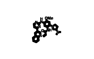 C=CC(=O)Nc1cc(Nc2nccc(-c3cnc4ccccc4c3)n2)c(OC)cc1N1CCC(N(C)C)C1